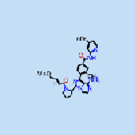 CCCc1ccnc(NC(=O)c2ccc(-c3nc(C4CCCN4C(=O)/C=C/COC)n4ccnc(N)c34)c(C)c2)c1